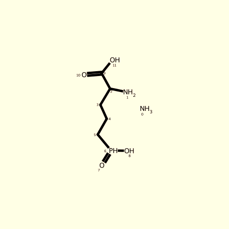 N.NC(CCC[PH](=O)O)C(=O)O